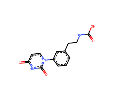 O=C(O)NCCc1cccc(-n2ccc(=O)[nH]c2=O)c1